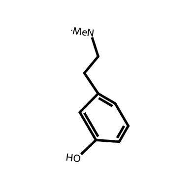 C[N]CCc1cccc(O)c1